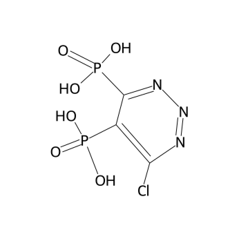 O=P(O)(O)c1nnnc(Cl)c1P(=O)(O)O